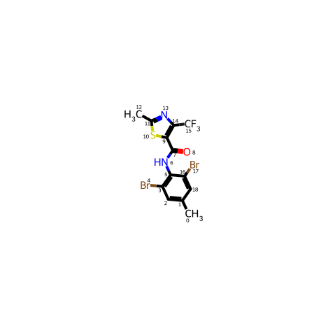 Cc1cc(Br)c(NC(=O)c2sc(C)nc2C(F)(F)F)c(Br)c1